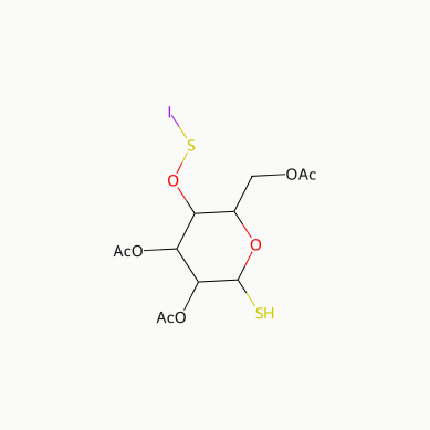 CC(=O)OCC1OC(S)C(OC(C)=O)C(OC(C)=O)C1OSI